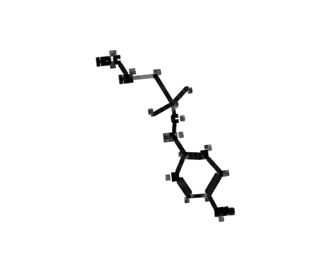 CSc1cnc(NCC(C)(C)CNC(=O)O)nc1